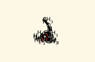 CC[C@H]1OC(=O)[C@H](C)[C@@H](O[C@H]2C[C@@](C)(OC)[C@@H](O)[C@H](C)O2)[C@H](C)[C@@H](O[C@H]2C[C@@H](N(C)CCc3cn(CCCOc4ccc(-c5ccc(OC)nc5)cc4)nn3)C[C@@H](C)O2)[C@](C)(O)C[C@@H](C)CN(C)[C@H](C)[C@@H](O)[C@]1(C)O